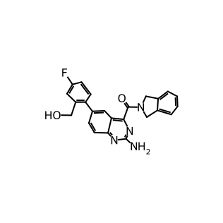 Nc1nc(C(=O)N2Cc3ccccc3C2)c2cc(-c3ccc(F)cc3CO)ccc2n1